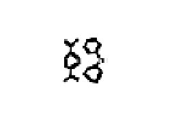 C=C(C)c1ccc(C(=C)C)cc1.c1ccc(Nc2ccccc2)cc1